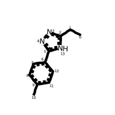 CCc1nnc(-c2ccc(C)cc2)[nH]1